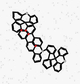 c1ccc(-c2ccc(-c3ccccc3N(c3ccc(-c4ccc5c(c4)-c4ccccc4C54c5ccccc5Oc5ccccc54)cc3)c3cccc4c3-c3ccccc3C43c4ccccc4Oc4ccccc43)cc2)cc1